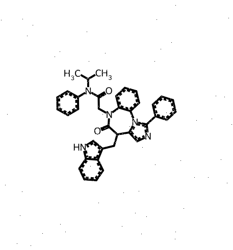 CC(C)N(C(=O)CN1C(=O)C(Cc2c[nH]c3ccccc23)c2cnc(-c3ccccc3)n2-c2ccccc21)c1ccccc1